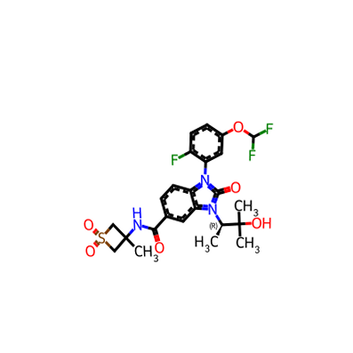 C[C@@H](n1c(=O)n(-c2cc(OC(F)F)ccc2F)c2ccc(C(=O)NC3(C)CS(=O)(=O)C3)cc21)C(C)(C)O